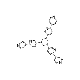 c1cc(-c2ccc(C3CC(c4ccc(-c5ccncc5)nc4)CC(c4ccc(-c5ccncc5)nc4)C3)cn2)ccn1